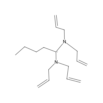 C=CCN(CC=C)[C](CCCC)N(CC=C)CC=C